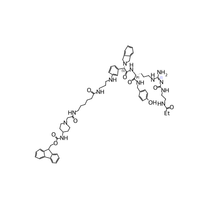 CCC(=O)NCCNC(=O)/N=C(/N)NCCC[C@@H](NC(=O)[C@H](c1cccc(NCCCNC(=O)CCCCCNC(=O)CN2CCC(NC(=O)OCC3c4ccccc4-c4ccccc43)CC2)c1)N1Cc2ccccc2C1)C(=O)NCc1ccc(O)cc1